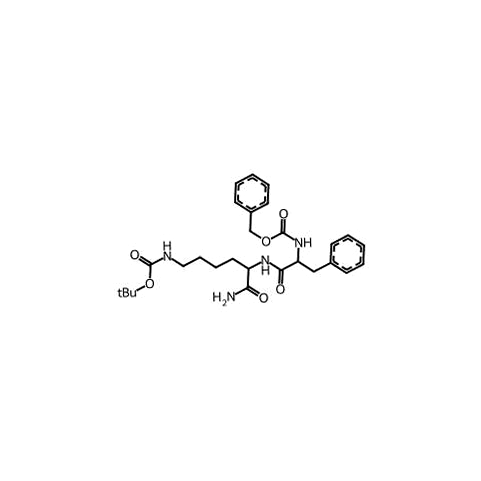 CC(C)(C)OC(=O)NCCCCC(NC(=O)C(Cc1ccccc1)NC(=O)OCc1ccccc1)C(N)=O